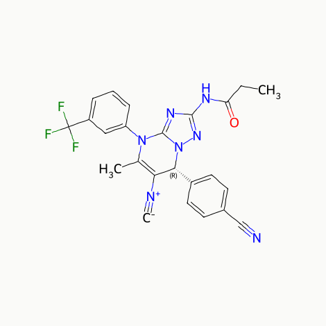 [C-]#[N+]C1=C(C)N(c2cccc(C(F)(F)F)c2)c2nc(NC(=O)CC)nn2[C@@H]1c1ccc(C#N)cc1